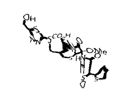 CO[C@@]1(NC(=O)C(=S=O)c2cccs2)C(=O)N2C(C(=O)O)=C(CSc3nnc(CO)s3)CS[C@@H]21